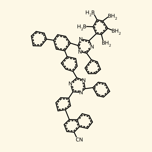 Bc1c(B)c(B)c(-c2nc(-c3ccccc3)nc(-c3ccc(-c4ccccc4)cc3-c3ccc(-c4nc(-c5ccccc5)nc(-c5cccc(-c6ccc(C#N)c7ccccc67)c5)n4)cc3)n2)c(B)c1B